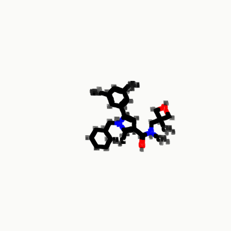 Cc1c(C(=O)N(C)CC2(C)COC2)cc(-c2cc(C(C)(C)C)cc(C(C)(C)C)c2)n1CC1CCCCC1